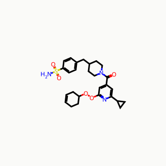 NS(=O)(=O)c1ccc(CC2CCN(C(=O)c3cc(OOC4CC=CCC4)nc(C4CC4)c3)CC2)cc1